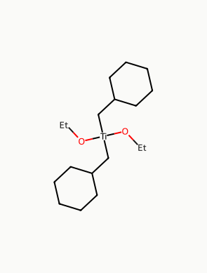 CC[O][Ti]([CH2]C1CCCCC1)([CH2]C1CCCCC1)[O]CC